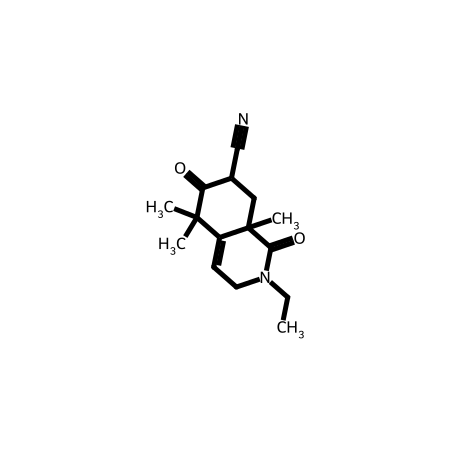 CCN1CC=C2C(C)(C)C(=O)C(C#N)CC2(C)C1=O